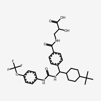 CC(C)(C)C1CCC(C(NC(=O)Nc2ccc(OC(F)(F)F)cc2)c2ccc(C(=O)NCC(O)C(=O)O)cc2)CC1